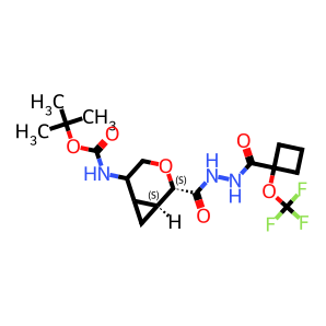 CC(C)(C)OC(=O)NC1CO[C@H](C(=O)NNC(=O)C2(OC(F)(F)F)CCC2)[C@H]2CC12